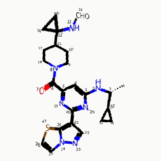 C[C@@H](Nc1cc(C(=O)N2CCC(C3(NC=O)CC3)CC2)nc(-c2cnn3ccsc23)n1)C1CC1